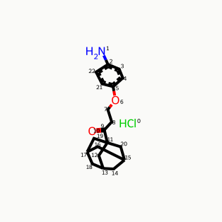 Cl.Nc1ccc(OCCC(=O)C23CC4CC(CC(C4)C2)C3)cc1